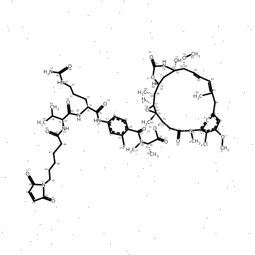 COc1cc2cc(c1Cl)N(C)C(=O)C[C@H](OC(=O)[C@H](C)N(C)C(=O)c1ccc(NC(=O)[C@H](CCCNC(N)=O)NC(=O)[C@@H](NC(=O)CCCCCN3C(=O)C=CC3=O)C(C)C)cc1F)[C@]1(C)O[C@H]1[C@H](C)[C@@H]1C[C@@](O)(NC(=O)O1)[C@H](OC)/C=C/C=C(\C)C2